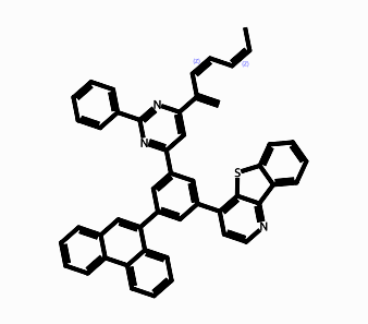 C=C(/C=C\C=C/C)c1cc(-c2cc(-c3cc4ccccc4c4ccccc34)cc(-c3ccnc4c3sc3ccccc34)c2)nc(-c2ccccc2)n1